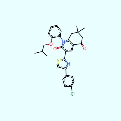 CC(C)COc1ccccc1-n1c2c(cc(-c3nc(-c4ccc(Cl)cc4)cs3)c1=O)C(=O)CC(C)(C)C2